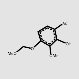 COCOc1ccc(C(C)=O)c(O)c1OC